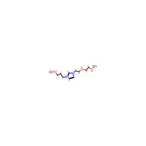 CCOCCC[n+]1ccn(CCOCCOCC)c1